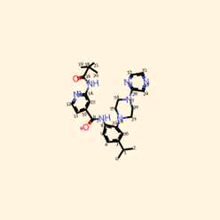 CC(C)c1ccc(NC(=O)c2ccnc(NC(=O)C(C)(C)C)c2)c(N2CCN(c3cnccn3)CC2)c1